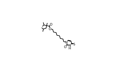 CC(C)CC(C)(C(=O)OCCCCCCCCn1ccc(=S)[nH]c1=O)C(C)C